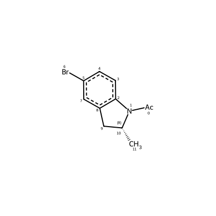 CC(=O)N1c2ccc(Br)cc2C[C@H]1C